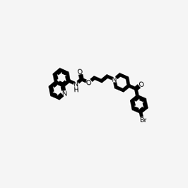 O=C(Nc1cccc2cccnc12)OCCCN1CCC(C(=O)c2ccc(Br)cc2)CC1